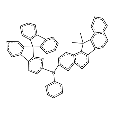 CC1(C)c2c(ccc3ccccc23)-c2ccc3cc(N(c4ccccc4)c4ccc5c(c4)C4(c6ccccc6-c6ccccc64)c4ccccc4-5)ccc3c21